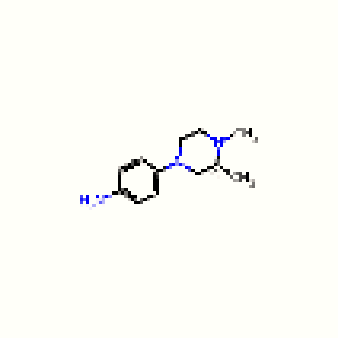 C[C@H]1CN(c2ccc(N)cc2)CCN1C